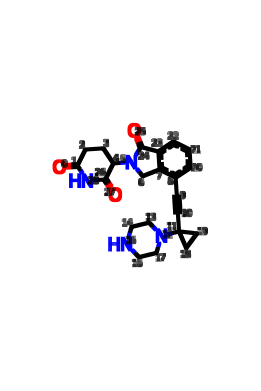 O=C1CCC(N2Cc3c(C#CC4(N5CCNCC5)CC4)cccc3C2=O)C(=O)N1